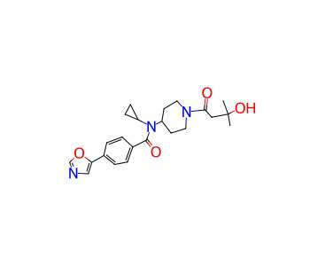 CC(C)(O)CC(=O)N1CCC(N(C(=O)c2ccc(-c3cnco3)cc2)C2CC2)CC1